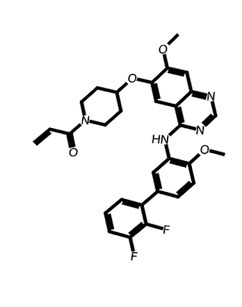 C=CC(=O)N1CCC(Oc2cc3c(Nc4cc(-c5cccc(F)c5F)ccc4OC)ncnc3cc2OC)CC1